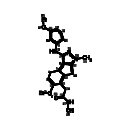 CCOC1=CCC2=c3c(Nc4cccc(OCC)c4)nn(C)c3=CC2=C1CC(=O)NO